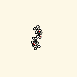 Fc1ccccc1N(c1cccc2c1-c1ccccc1C2(c1ccccc1)c1ccccc1)c1cc2c3ccccc3c(N(c3ccccc3F)c3cccc4c3-c3ccccc3C4(c3ccccc3)c3ccccc3)cc2c2ccccc12